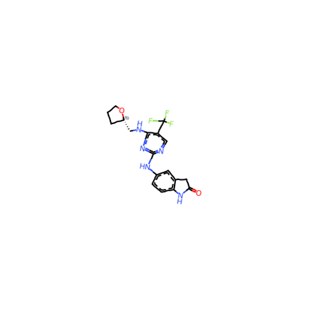 O=C1Cc2cc(Nc3ncc(C(F)(F)F)c(NC[C@@H]4CCCO4)n3)ccc2N1